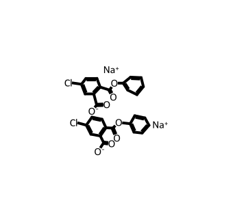 O=C([O-])c1cc(Cl)ccc1C(=O)Oc1ccccc1.O=C([O-])c1cc(Cl)ccc1C(=O)Oc1ccccc1.[Na+].[Na+]